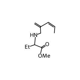 C=C(/C=C\C)CNC(CC)C(=O)OC